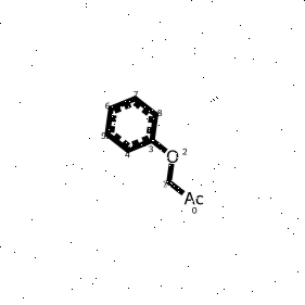 CC(=O)COc1c[c]ccc1